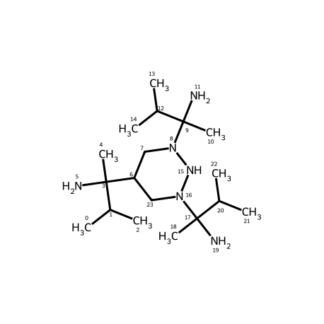 CC(C)C(C)(N)C1CN(C(C)(N)C(C)C)NN(C(C)(N)C(C)C)C1